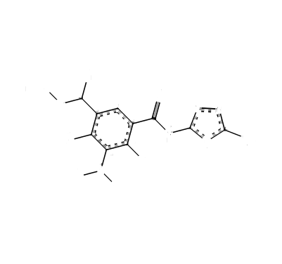 CCOC(=O)OC(C)c1cc(C(=O)Nc2nnc(C)o2)c(Cl)c([S+](C)[O-])c1C(F)(F)F